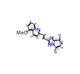 COc1cccc2nc(/C=C/c3nc4c(C)ncc(C)n4n3)ccc12